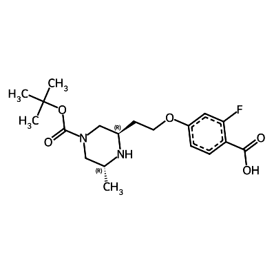 C[C@@H]1CN(C(=O)OC(C)(C)C)C[C@@H](CCOc2ccc(C(=O)O)c(F)c2)N1